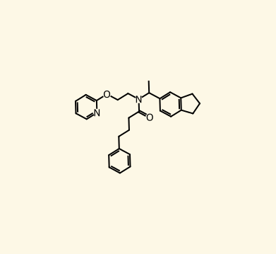 CC(c1ccc2c(c1)CCC2)N(CCOc1ccccn1)C(=O)CCCc1ccccc1